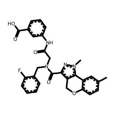 Cc1ccc2c(c1)-c1c(c(C(=O)N(CC(=O)Nc3cccc(C(=O)O)c3)Cc3ccccc3F)nn1C)CO2